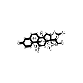 CC(=O)CO[C@@H]1C[C@H]2[C@@H]3CCC4=CC(=O)C=C[C@]4(C)C3(F)[C@@H](O)C[C@]2(C)[C@@]1(O)C(=O)CCl